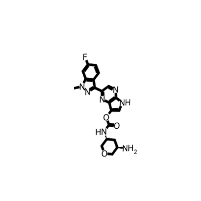 Cn1nc(-c2cnc3[nH]cc(OC(=O)N[C@H]4COC[C@H](N)C4)c3n2)c2ccc(F)cc21